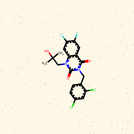 CC(C)(O)Cn1c(=O)n(Cc2ccc(Cl)cc2Cl)c(=O)c2cc(F)c(F)cc21